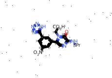 CC(C)Nc1ncc(-c2cc(-c3nnn[nH]3)cc([N+](=O)[O-])c2)n(CC(=O)O)c1=O